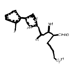 CCC(C(=N)C(C=O)CCCC(=O)O)c1ncc(-c2ccccc2F)[nH]1